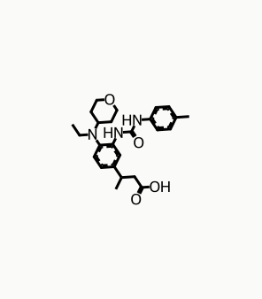 CCN(c1ccc(C(C)CC(=O)O)cc1NC(=O)Nc1ccc(C)cc1)C1CCOCC1